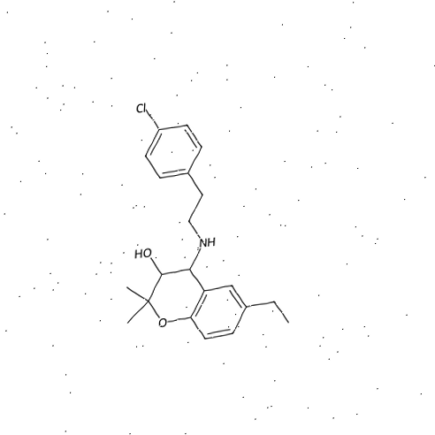 CCc1ccc2c(c1)C(NCCc1ccc(Cl)cc1)C(O)C(C)(C)O2